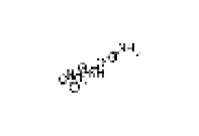 NCCOCCOCCNC(=O)COc1ccccc1C(N)=O